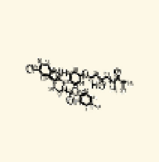 Cc1ccc(OC(O)N2CCc3c([nH]c4ccc(Cl)cc34)[C@@H]2c2ccc(OCCC(O)CNC(=O)C(C)C)cc2)cc1